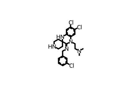 CN(C)CCN1/C(=N/Cc2cccc(Cl)c2)C2(CCNCC2)Nc2cc(Cl)c(Cl)cc21